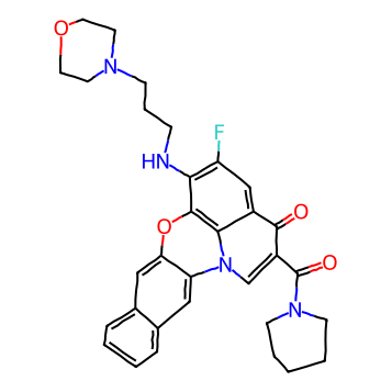 O=C(c1cn2c3c(c(NCCCN4CCOCC4)c(F)cc3c1=O)Oc1cc3ccccc3cc1-2)N1CCCCC1